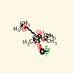 CC[Si](CC)(CC)O[C@H](C=C[C@H]1[C@@H](CC=CCCCC(=O)OC(C)C)[C@H](O)C[C@H]1O[Si](CC)(CC)CC)COc1cccc(C(F)(F)F)c1